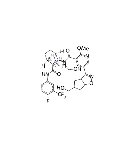 COc1ncc(C2=NOC3CC(CO)CC23)cc1C(=O)N[C@H]1[C@@H](C(=O)Nc2ccc(F)c(C(F)(F)F)c2)[C@H]2CC[C@@H]1/C2=C\CCO